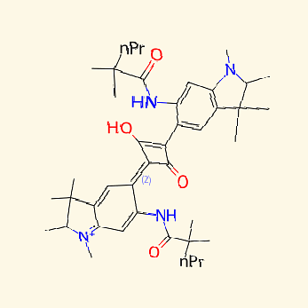 CCCC(C)(C)C(=O)Nc1cc2c(cc1C1=C(O)/C(=c3\cc4c(cc3NC(=O)C(C)(C)CCC)=[N+](C)C(C)C4(C)C)C1=O)C(C)(C)C(C)N2C